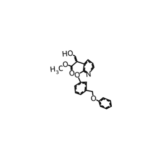 COC(=O)C(=CO)c1cccnc1Oc1cccc(COc2ccccc2)c1